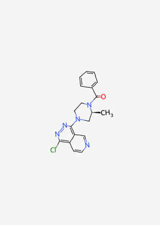 C[C@H]1CN(c2nnc(Cl)c3ccncc23)CCN1C(=O)c1ccccc1